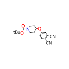 CC(C)(C)OC(=O)N1CCC(Oc2ccc(C#N)c(C#N)c2)CC1